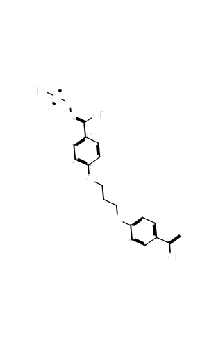 C=C(c1ccc(OCCCOc2ccc(/C(=N/OS(=O)(=O)CCC)C(F)(F)F)cc2)cc1)C(F)(F)F